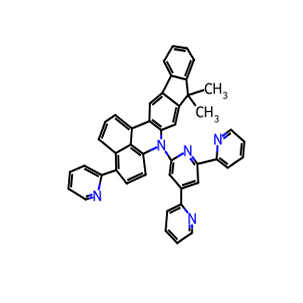 CC1(C)c2ccccc2-c2cc3c(cc21)N(c1cc(-c2ccccn2)cc(-c2ccccn2)n1)c1ccc(-c2ccccn2)c2cccc-3c12